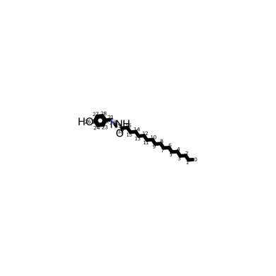 CCCCCCCCCCCCCCCCCC(=O)N/N=C/c1ccc(O)cc1